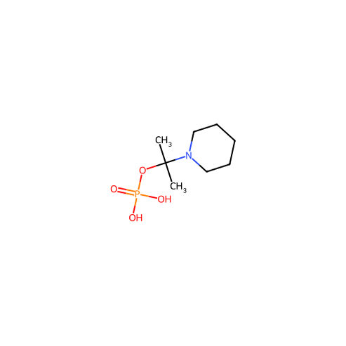 CC(C)(OP(=O)(O)O)N1CCCCC1